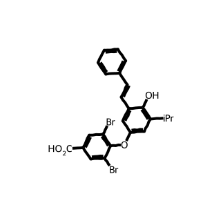 CC(C)c1cc(Oc2c(Br)cc(C(=O)O)cc2Br)cc(C=Cc2ccccc2)c1O